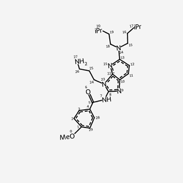 COc1ccc(C(=O)Nc2nc3ccc(N(CCC(C)C)CCC(C)C)nc3n2CCCN)cc1